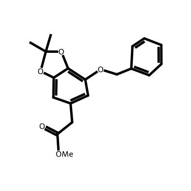 COC(=O)Cc1cc(OCc2ccccc2)c2c(c1)OC(C)(C)O2